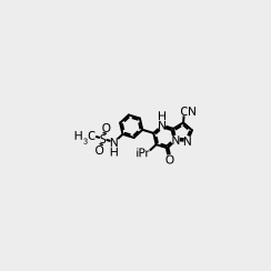 CC(C)c1c(-c2cccc(NS(C)(=O)=O)c2)[nH]c2c(C#N)cnn2c1=O